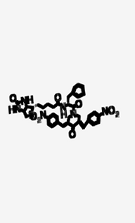 O=C(CCCC[C@@H]1SCC2NC(=O)NC21)N[C@@H](Cc1ccccc1)C(=O)N1C/C(=C\c2ccc([N+](=O)[O-])cc2)C(=O)/C(=C/c2ccc([N+](=O)[O-])cc2)C1